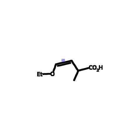 CCO/C=C\C(C)C(=O)O